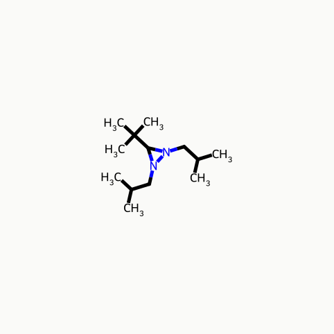 CC(C)CN1C(C(C)(C)C)N1CC(C)C